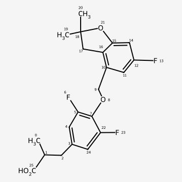 CC(Cc1cc(F)c(OCc2cc(F)cc3c2CC(C)(C)O3)c(F)c1)C(=O)O